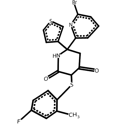 Cc1cc(F)ccc1SC1C(=O)CC(c2ccsc2)(c2cccc(Br)n2)NC1=O